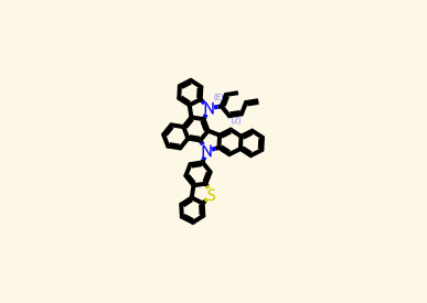 C=C/C=C\C(=C/C)n1c2ccccc2c2c3ccccc3c3c(c4cc5ccccc5cc4n3-c3ccc4c(c3)sc3ccccc34)c21